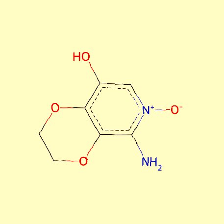 Nc1c2c(c(O)c[n+]1[O-])OCCO2